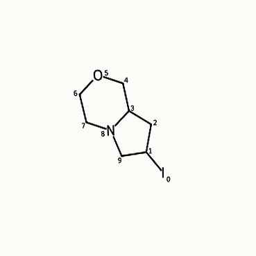 IC1CC2COCCN2C1